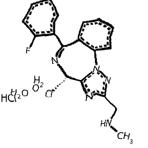 CNCc1nc2n(n1)-c1ccccc1C(c1ccccc1F)=N[C@H]2Cl.Cl.O.O